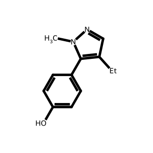 CCc1cnn(C)c1-c1ccc(O)cc1